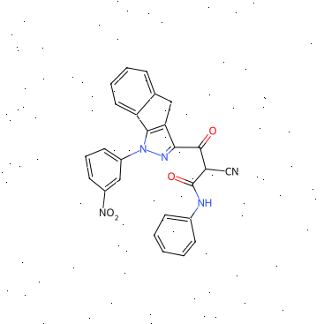 N#CC(C(=O)Nc1ccccc1)C(=O)c1nn(-c2cccc([N+](=O)[O-])c2)c2c1Cc1ccccc1-2